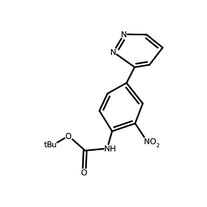 CC(C)(C)OC(=O)Nc1ccc(-c2cccnn2)cc1[N+](=O)[O-]